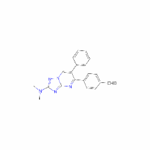 CN(C)c1nc2nc(-c3ccc(C=O)cc3)c(-c3ccccc3)cn2n1